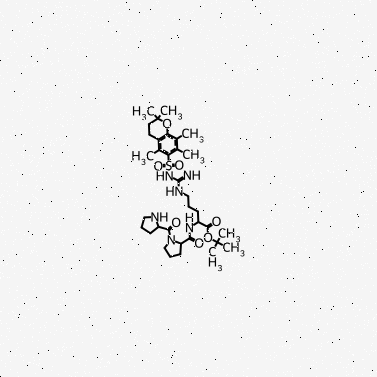 Cc1c(C)c(S(=O)(=O)NC(=N)NCCCC(NC(=O)C2CCCN2C(=O)C2CCCN2)C(=O)OC(C)(C)C)c(C)c2c1OC(C)(C)CC2